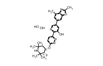 Cc1nc2c(C)cc(-c3cnc(-c4ccc(O[C@H]5CC(C)(C)NC(C)(C)[C@H]5F)nn4)c(O)c3)cc2o1.Cl.Cl